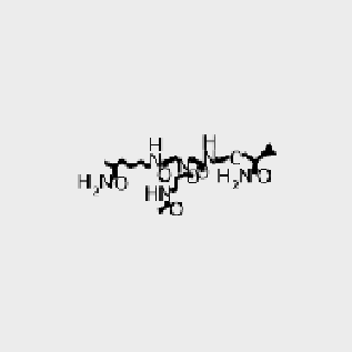 CC(=O)NCCC(=O)N(CC(=O)NCCCCC(C)C(N)=O)CC(=O)NCCCCC(C(N)=O)C1CC1